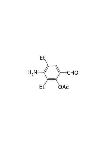 CCc1cc(C=O)c(OC(C)=O)c(CC)c1N